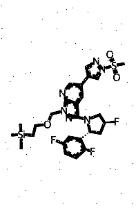 C[Si](C)(C)CCOCn1nc(N2C[C@@H](F)C[C@@H]2c2cc(F)ccc2F)c2cc(-c3cnn(S(C)(=O)=O)c3)cnc21